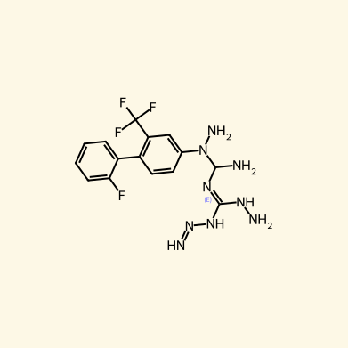 N=NN/C(=N/C(N)N(N)c1ccc(-c2ccccc2F)c(C(F)(F)F)c1)NN